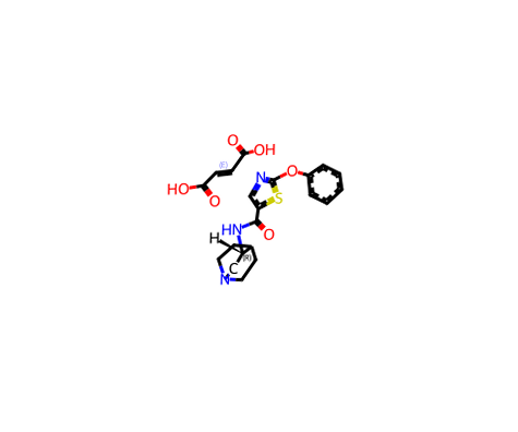 O=C(N[C@H]1CN2CCC1CC2)c1cnc(Oc2ccccc2)s1.O=C(O)/C=C/C(=O)O